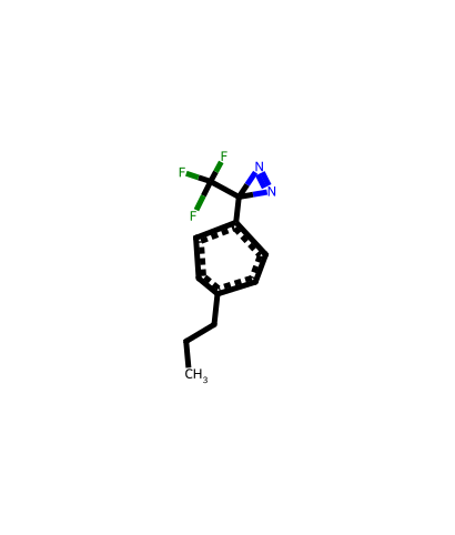 CCCc1ccc(C2(C(F)(F)F)N=N2)cc1